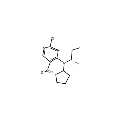 CC[C@H](C)N(c1nc(Cl)ncc1[N+](=O)[O-])C1CCCC1